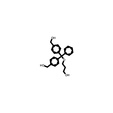 OCCCOC(c1ccccc1)(c1ccc(CO)cc1)c1ccc(CO)cc1